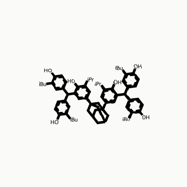 CCC(C)c1cc(C(c2ccc(O)c(C(C)CC)c2)c2cc(C34CC5CC(C3)CC(c3cc(C(C)C)c(O)c(C(c6ccc(O)c(C(C)CC)c6)c6ccc(O)c(C(C)CC)c6)c3)(C5)C4)cc(C(C)C)c2O)ccc1O